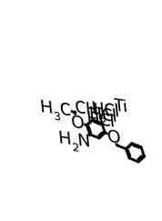 CC(C)Oc1ccc(OCc2ccccc2)cc1N.Cl.Cl.Cl.[Ti]